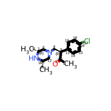 CC(=O)[C@@H](CN1C[C@@H](C)N[C@@H](C)C1)c1ccc(Cl)cc1